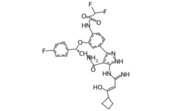 C[C@H](Oc1cc(-c2n[nH]c(NC(=N)/C=C(\O)C3CCC3)c2C(N)=O)ccc1NS(=O)(=O)C(F)F)c1ccc(F)cc1